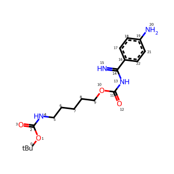 CC(C)(C)OC(=O)NCCCCCOC(=O)NC(=N)c1ccc(N)cc1